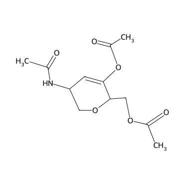 CC(=O)NC1C=C(OC(C)=O)C(COC(C)=O)OC1